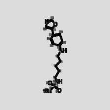 CC(C)(C)S(=O)(=O)NCCCCCNc1ccc(-c2cnco2)cc1